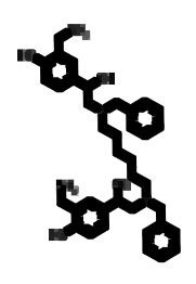 NCc1cc(C(O)CN(CCCCCCN(Cc2ccccc2)CC(O)c2ccc(O)c(CN)c2)Cc2ccccc2)ccc1O